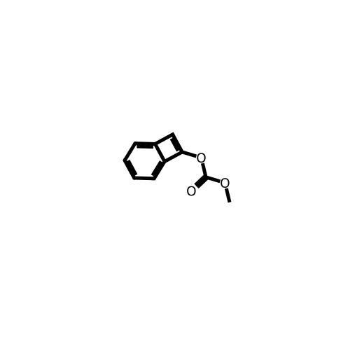 COC(=O)OC1=Cc2ccccc21